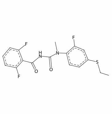 CCSc1ccc(N(C)C(=O)NC(=O)c2c(F)cccc2F)c(F)c1